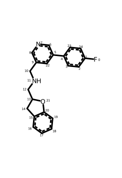 Fc1ccc(-c2cncc(CNCC3Cc4ccccc4O3)c2)cc1